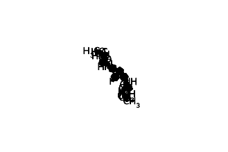 COC(=O)N[C@H](C(=O)N1CCC[C@H]1C(=O)Nc1ccc([C@@H]2CC[C@@H](c3ccc(NC(=O)[C@@H]4CCCN4C(=O)[C@@H](NC(=O)OC)[C@@H](C)I)cc3)N2c2ccc(F)cc2)cc1)[C@@H](C)I